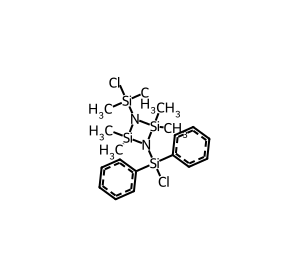 C[Si](C)(Cl)N1[Si](C)(C)N([Si](Cl)(c2ccccc2)c2ccccc2)[Si]1(C)C